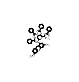 COc1ccc(Cc2c(C)cc(C)cc2O[C@@H]2O[C@H]([C@@H](C)OC(=O)c3ccccc3)[C@@H](OC(=O)c3ccccc3)[C@H](OC(=O)c3ccccc3)[C@H]2OC(=O)c2ccccc2)cc1